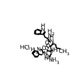 CCCC[C@H](NC(=O)[C@@H](N)Cc1c[nH]c2ccccc12)C(=O)N[C@@H](CC(N)=O)C(=O)N[C@@H](Cc1ccccc1)C(N)=O.Cl